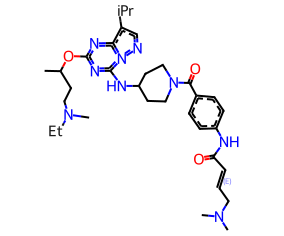 CCN(C)CCC(C)Oc1nc(NC2CCN(C(=O)c3ccc(NC(=O)/C=C/CN(C)C)cc3)CC2)n2ncc(C(C)C)c2n1